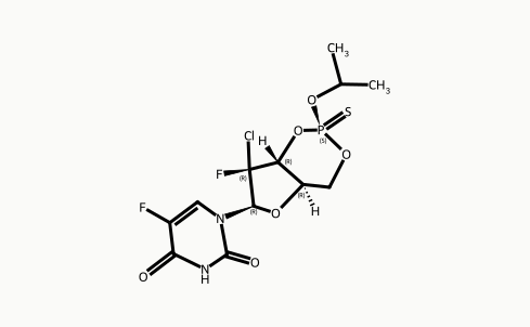 CC(C)O[P@@]1(=S)OC[C@H]2O[C@@H](n3cc(F)c(=O)[nH]c3=O)[C@](F)(Cl)[C@@H]2O1